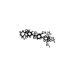 CCC(CC)(c1ccc(B2OC(C)(C)C(C)(C)O2)c(C)c1)c1ccc(C2(O)CCSCC2)c(C)c1